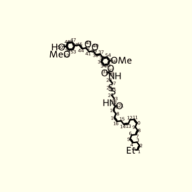 CC/C=C\C/C=C\C/C=C\C/C=C\C/C=C\C/C=C\CCC(=O)NCCSSCCNC(=O)Oc1ccc(/C=C/C(=O)CC(=O)/C=C/c2ccc(O)c(OC)c2)cc1OC